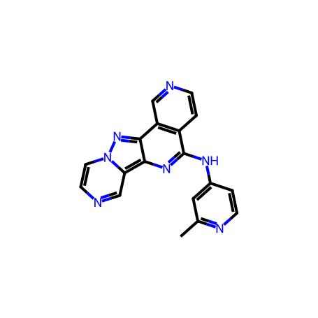 Cc1cc(Nc2nc3c(nn4ccncc34)c3cnccc23)ccn1